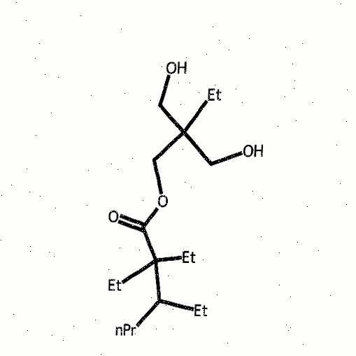 CCCC(CC)C(CC)(CC)C(=O)OCC(CC)(CO)CO